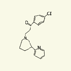 O=C(CCN1CCCC(c2ccccn2)C1)c1ccc(Cl)cc1